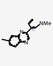 C=C/C(=C\NC)c1cnc2ccc(C)cc2n1